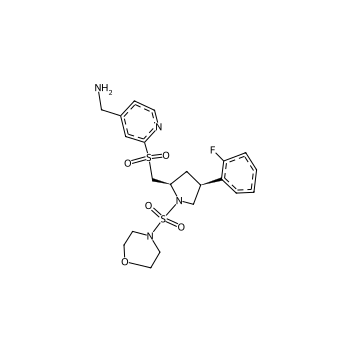 NCc1ccnc(S(=O)(=O)C[C@H]2C[C@@H](c3ccccc3F)CN2S(=O)(=O)N2CCOCC2)c1